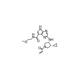 C=CC(=O)N1C[C@H](Nc2cnc3[nH]cc(C(=O)NCCOC)c3n2)[C@H](C2CC2)C1